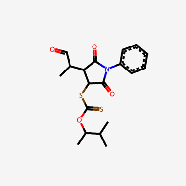 CC(C)C(C)OC(=S)SC1C(=O)N(c2ccccc2)C(=O)C1C(C)C=O